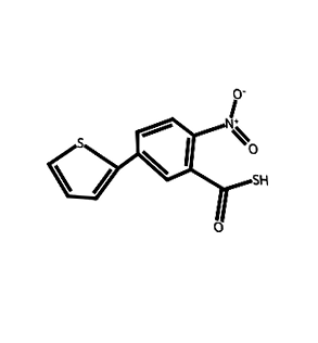 O=C(S)c1cc(-c2cccs2)ccc1[N+](=O)[O-]